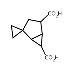 O=C(O)C1CC2(CC2)C2C(C(=O)O)C12